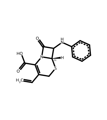 C=CC1=C(C(=O)O)N2C(=O)C(Nc3ccccc3)[C@@H]2SC1